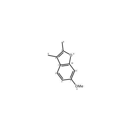 COc1ccc2c(C)c(C)oc2c1